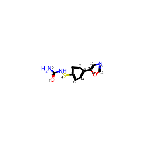 NC(=O)NSc1ccc(-c2cnco2)cc1